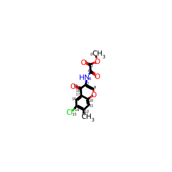 COC(=O)C(=O)Nc1coc2cc(C)c(Cl)cc2c1=O